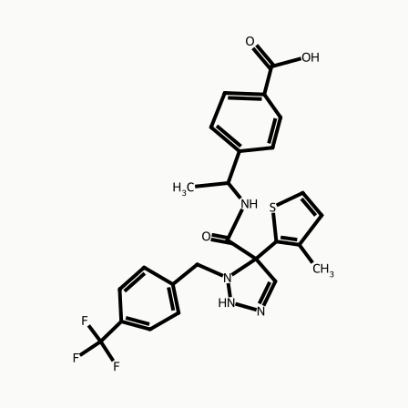 Cc1ccsc1C1(C(=O)NC(C)c2ccc(C(=O)O)cc2)C=NNN1Cc1ccc(C(F)(F)F)cc1